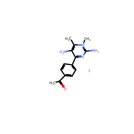 CC(=O)c1ccc(-c2nc(N)[n+](C)c(C)c2N)cc1.[I-]